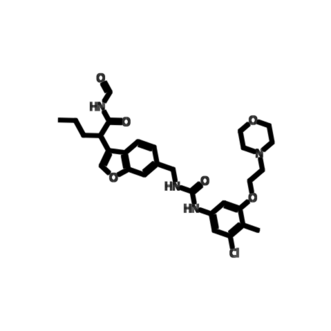 CCCC(C(=O)NC=O)c1coc2cc(CNC(=O)Nc3cc(Cl)c(C)c(OCCN4CCOCC4)c3)ccc12